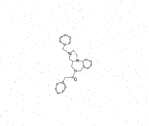 O=C(Cc1ccccc1)N1Cc2ccccc2N2CCN(Cc3ccccc3)CC2C1